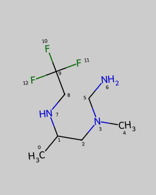 CC(CN(C)CN)NCC(F)(F)F